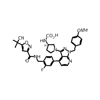 COc1ccc(Cn2nc(N3CC[C@@H](NC(=O)O)C3)c3c(-c4ccc(CNC(=O)c5cc(C(C)(C)C#N)on5)c(F)c4)ccnc32)cc1